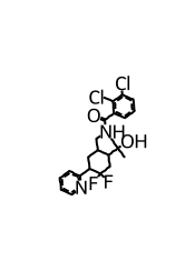 CC(C)(O)C1CC(F)(F)C(c2ccccn2)CC1CNC(=O)c1cccc(Cl)c1Cl